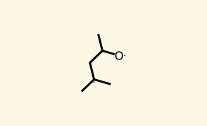 C[C](C)CC(C)[O]